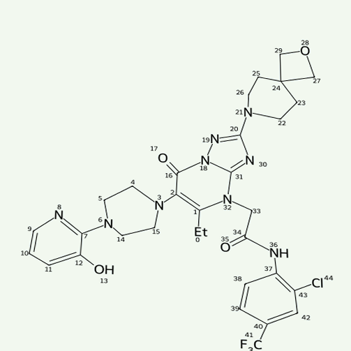 CCc1c(N2CCN(c3ncccc3O)CC2)c(=O)n2nc(N3CCC4(CC3)COC4)nc2n1CC(=O)Nc1ccc(C(F)(F)F)cc1Cl